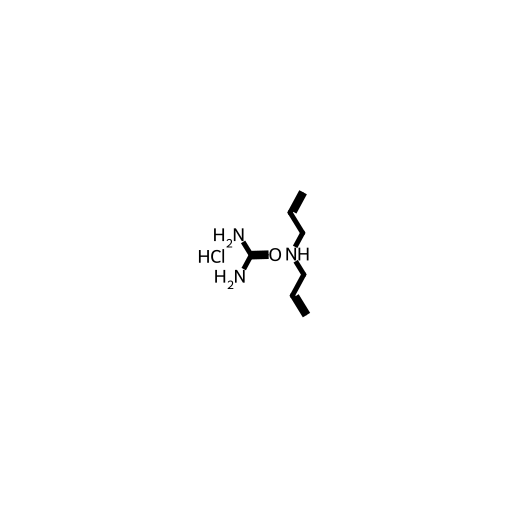 C=CCNCC=C.Cl.NC(N)=O